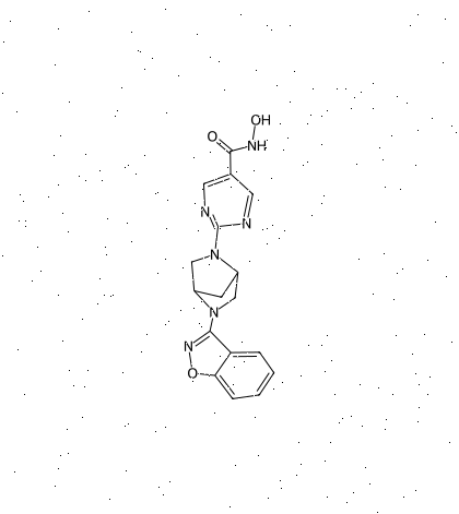 O=C(NO)c1cnc(N2CC3CC2CN3c2noc3ccccc23)nc1